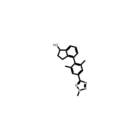 Cc1cc(-c2nnn(C)n2)cc(C)c1-c1cccc2c1CCC2O